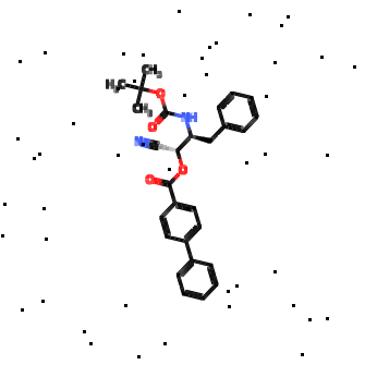 CC(C)(C)OC(=O)N[C@@H](Cc1ccccc1)[C@@H](C#N)OC(=O)c1ccc(-c2ccccc2)cc1